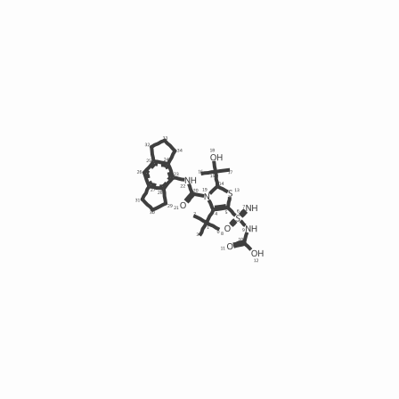 CC(C)(C)C1=C(S(=N)(=O)NC(=O)O)SC(C(C)(C)O)N1C(=O)Nc1c2c(cc3c1CCC3)CCC2